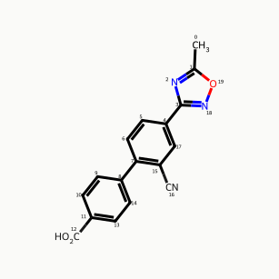 Cc1nc(-c2ccc(-c3ccc(C(=O)O)cc3)c(C#N)c2)no1